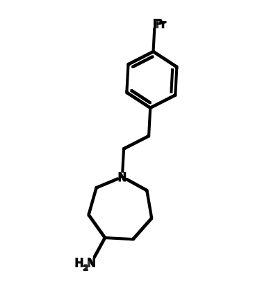 CC(C)c1ccc(CCN2CCCC(N)CC2)cc1